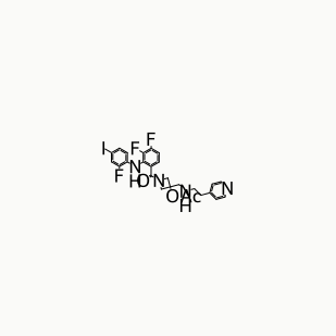 CC(=O)OC1(CNCCc2ccncc2)CN(C(=O)c2ccc(F)c(F)c2Nc2ccc(I)cc2F)C1